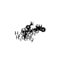 CC(C)N(CCN(C(=O)CNCC(=O)N(C)N1Cc2ccccc2C1)c1cc(C#N)ccc1F)C(=O)OC(C)(C)C